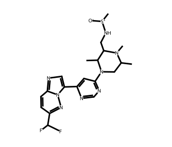 CC1C(CN[S+](C)[O-])N(C)C(C)CN1c1cc(-c2cnc3ccc(C(F)F)nn23)ncn1